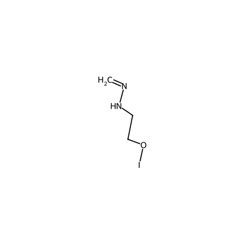 C=NNCCOI